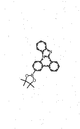 CC1(C)OB(c2ccc3c(c2)c2ccccc2c2nc4ccccc4n32)OC1(C)C